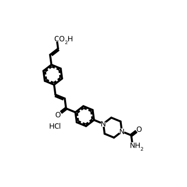 Cl.NC(=O)N1CCN(c2ccc(C(=O)C=Cc3ccc(C=CC(=O)O)cc3)cc2)CC1